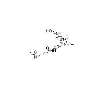 C=CCC(NC(=O)CNCCNC(=O)CCCCCN(C)C(=O)CC)C(=O)NCC(=O)NCCO